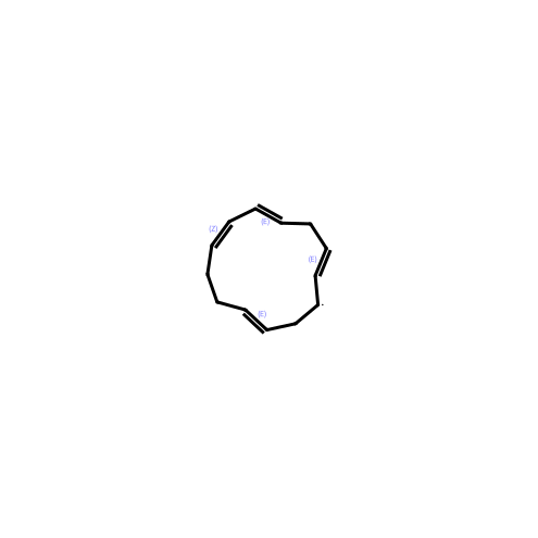 [CH]1/C=C/C/C=C/C=C\CC/C=C/C1